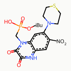 CCC(C)OP(=O)(O)Cn1c(=O)c(=O)[nH]c2cc([N+](=O)[O-])c(N3CCSCC3)cc21